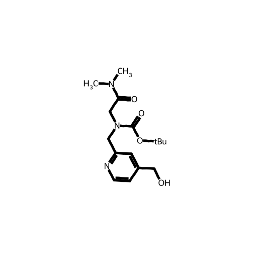 CN(C)C(=O)CN(Cc1cc(CO)ccn1)C(=O)OC(C)(C)C